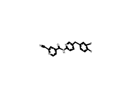 N#Cc1cc(C(=O)Nc2ccc(Cc3ccc(F)c(F)c3)cn2)ccn1